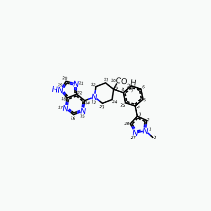 Cn1cc(-c2cccc(C3(C(=O)O)CCN(c4ncnc5[nH]cnc45)CC3)c2)cn1